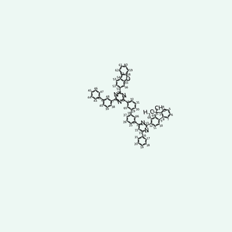 CC1(C)c2ccccc2-c2ccc(-c3nc(-c4ccccc4)cc(-c4cccc(-c5cccc(-c6nc(-c7cccc(-c8ccccc8)c7)nc(-c7ccc8c(c7)oc7ccccc78)n6)c5)c4)n3)cc21